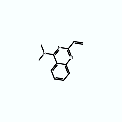 C=Cc1nc(N(C)C)c2ccccc2n1